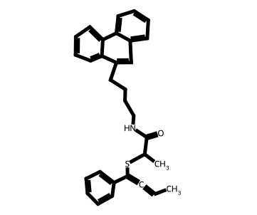 CC=C=C(SC(C)C(=O)NCCCCc1cc2ccccc2c2ccccc12)c1ccccc1